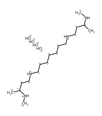 CNC(C)CCNCCCCCCCNCCC(C)NC.Cl.Cl.Cl.Cl